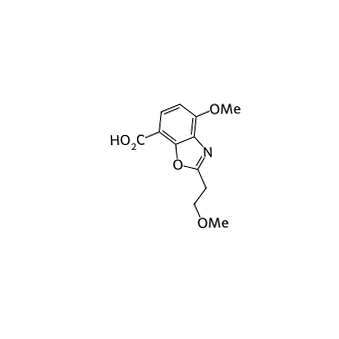 COCCc1nc2c(OC)ccc(C(=O)O)c2o1